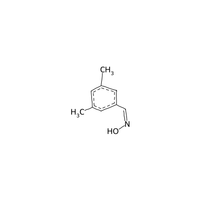 Cc1cc(C)cc(/C=N\O)c1